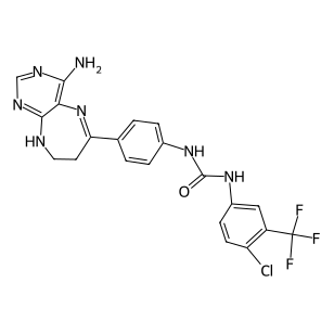 Nc1ncnc2c1N=C(c1ccc(NC(=O)Nc3ccc(Cl)c(C(F)(F)F)c3)cc1)CCN2